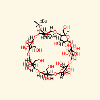 CC(=O)O[C@@H]1[C@@H](OC(C)=O)[C@H]2O[C@H]3[C@H](O)[C@@H](O)[C@@H](O[C@H]4[C@H](O)[C@@H](O)[C@@H](O[C@H]5[C@H](O)[C@@H](O)[C@@H](O[C@H]6[C@H](O)[C@@H](O)[C@@H](O[C@H]7[C@H](O)[C@@H](O)[C@@H](O[C@H]8[C@H](O)[C@@H](O)[C@@H](O[C@@H]1[C@@H](CO[Si](C)(C)C(C)(C)C)O2)O[C@@H]8CO)O[C@@H]7CO)O[C@@H]6CO)O[C@@H]5CO)O[C@@H]4O)O[C@@H]3CO